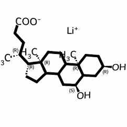 C[C@H](CCC(=O)[O-])[C@H]1CCC2C3C[C@H](O)C4C[C@H](O)CC[C@]4(C)C3CC[C@@]21C.[Li+]